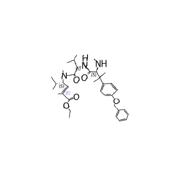 CCOC(=O)/C(C)=C/[C@H](C(C)C)N(C)C(=O)[C@@H](NC(=O)[C@@H](NC)C(C)(C)c1ccc(OCc2ccccc2)cc1)C(C)C